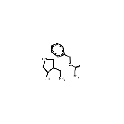 NC(=O)OCc1ccccc1.NCC1CNCC1O